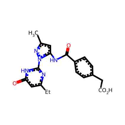 CCc1cc(=O)[nH]c(-n2nc(C)cc2NC(=O)c2ccc(CC(=O)O)cc2)n1